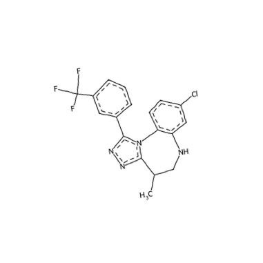 CC1CNc2cc(Cl)ccc2-n2c(-c3cccc(C(F)(F)F)c3)nnc21